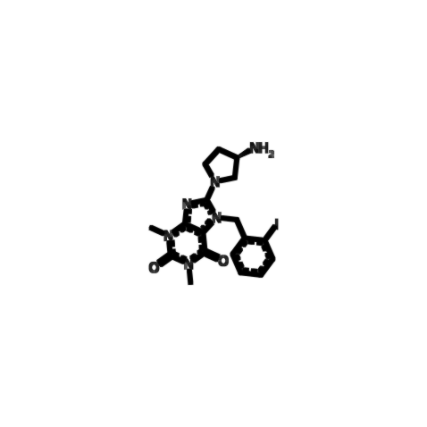 Cn1c(=O)c2c(nc(N3CC[C@@H](N)C3)n2Cc2ccccc2I)n(C)c1=O